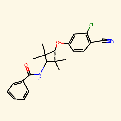 CC1(C)C(NC(=O)c2ccccc2)C(C)(C)C1Oc1ccc(C#N)c(Cl)c1